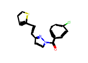 O=C(c1ccc(Cl)cc1)n1ccc(C=Cc2cccs2)n1